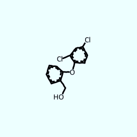 OCc1ccccc1Oc1ccc(Cl)cc1Cl